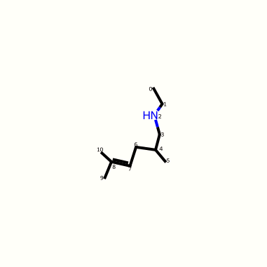 CCNCC(C)CC=C(C)C